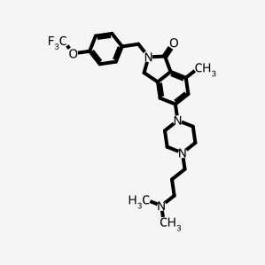 Cc1cc(N2CCN(CCCN(C)C)CC2)cc2c1C(=O)N(Cc1ccc(OC(F)(F)F)cc1)C2